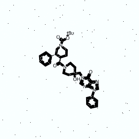 CC(C)(C)OC(=O)N1CC[C@@H](C(=O)N2CCC(O)(Cn3cnc4c(ncn4-c4ccccc4)c3=O)CC2)[C@H](c2ccccc2)C1